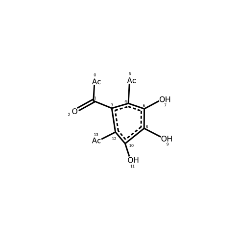 CC(=O)C(=O)c1c(C(C)=O)c(O)c(O)c(O)c1C(C)=O